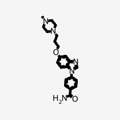 CN1CCN(CCCOc2ccc3c(c2)ncn3-c2ccc(C(N)=O)cc2)CC1